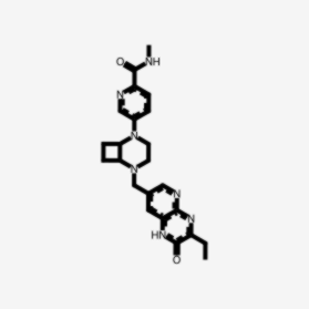 CCc1nc2ncc(CN3CCN(c4ccc(C(=O)NC)nc4)C4CCC43)cc2[nH]c1=O